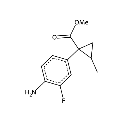 COC(=O)C1(c2ccc(N)c(F)c2)CC1C